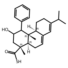 CC(C)C1=CC2=CC[C@@H]3[C@](C)(C(c4ccccc4)C(O)C[C@@]3(C)C(=O)S)[C@H]2CC1